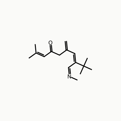 C=C(/C=C(\C=N/C)C(C)(C)C)CC(=O)C=C(C)C